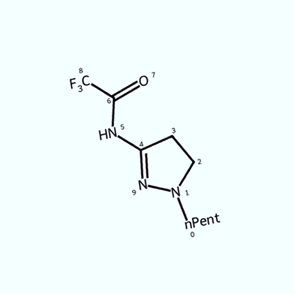 CCCCCN1CCC(NC(=O)C(F)(F)F)=N1